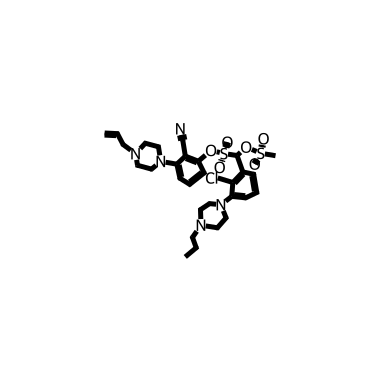 C=CCN1CCN(c2cccc(OS(=O)(=O)C(OS(C)(=O)=O)c3cccc(N4CCN(CCC)CC4)c3Cl)c2C#N)CC1